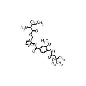 CCC(C)C(N)C(=O)OCn1ccs/c1=N\C(=O)c1ccc(NC(=O)CC(C)(C)C)c(OC)c1